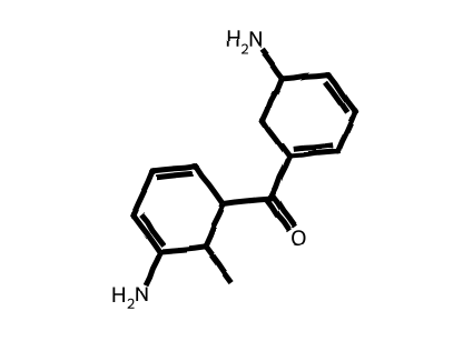 CC1C(N)=CC=CC1C(=O)C1=CC=CC(N)C1